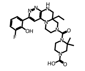 CCC12CNc3nnc(-c4cccc(F)c4O)cc3N1CCN(C(=O)N1CCN(C(=O)O)CC1(C)C)C2